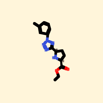 CCOC(=O)[C@@H]1CC[C@H](c2nnn(-c3cccc(C)c3)n2)N1